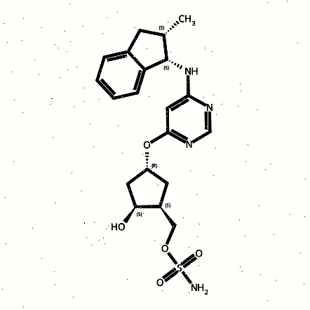 C[C@H]1Cc2ccccc2[C@H]1Nc1cc(O[C@@H]2C[C@@H](COS(N)(=O)=O)[C@@H](O)C2)ncn1